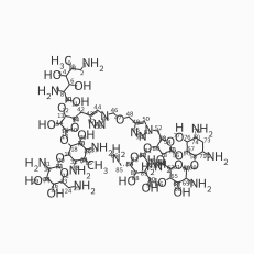 C[C@H](CN)C(O)C(O)C(N)[C@@H](O)OC1C(O)[C@H](OC2C(O[C@@H]3OC(CN)C(O)[C@H](O)C3N)C(N)[C@H](C)[C@H](N)[C@@H]2O)O[C@@H]1Cc1cn(COCc2cn(C[C@H]3O[C@@H](O[C@H]4C(O[C@H]5OC(CN)C(O)[C@H](O)C5N)C(N)C[C@@H](N)C4O)C(O)C3O[C@H]3O[C@@H](CN)C(O)C(CO)C3N)nn2)nn1